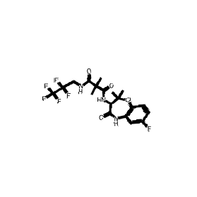 CC(C)(C(=O)NCC(F)(F)C(F)(F)F)C(=O)NC1C(=O)Nc2cc(F)ccc2OC1(C)C